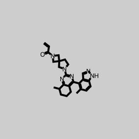 C=CC(=O)N1CC2(CCN(c3nc(-c4c(C)ccc5[nH]ncc45)c4c(n3)C(C)CCC4)C2)C1